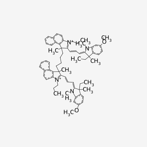 CCC[N+]1=C(C=CC=C2N(C)c3cc(OC)ccc3C2(C)CC)C(C)(CCCCC2(C)C(C=CC=C3N(C)c4cc(OC)ccc4C3(C)CC)=[N+](CCC)c3ccc4ccccc4c32)c2c1ccc1ccccc21